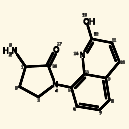 NC1CCN(c2cccc3ccc(O)nc23)C1=O